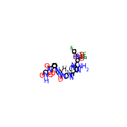 C[C@H](Oc1cc(-c2nn(C)c3c(-c4cnn(C5CCN(C(=O)N6CCN(c7cccc8c7C(=O)N(C7CCC(=O)NC7=O)C8=O)CC6)CC5)c4)cnc(N)c23)ccc1NS(=O)(=O)C(F)F)c1ccc(F)cc1